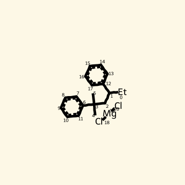 [CH2]CC(CC(C)(C)c1ccccc1)c1ccccc1.[Cl][Mg][Cl]